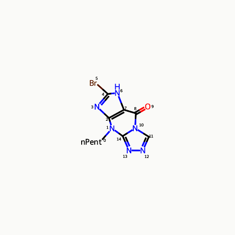 CCCCCn1c2nc(Br)[nH]c2c(=O)n2cnnc12